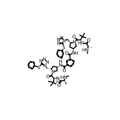 CN[C@@H](C)C(=O)N[C@H](C(=O)N1C[C@@H](NC(=O)c2cccc(C(=O)N[C@H]3C[C@@H](Cn4nnnc4Sc4ccccc4)N(C(=O)[C@@H](NC(=O)[C@H](C)NC)C(C)(C)C)C3)c2)C[C@H]1Cn1nnnc1Sc1ccccc1)C(C)(C)C